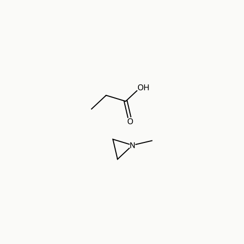 CCC(=O)O.CN1CC1